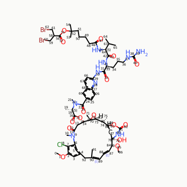 COc1cc2cc(c1Cl)N(C)C(=O)C[C@H](OC(=O)[C@H](C)N(C)C(=O)c1ccc3nc(NC(=O)[C@H](CCCNC(N)=O)NC(=O)[C@@H](NC(=O)CCCCC(C)(C)OC(=O)C(CBr)CBr)C(C)C)ccc3c1)[C@]1(C)O[C@H]1[C@H](C)[C@@H]1C[C@@](O)(NC(=O)O1)[C@H](OC)/C=C/C=C(\C)C2